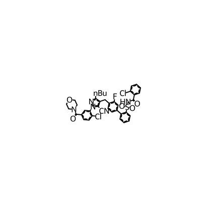 CCCCc1nn(-c2cc(C(=O)N3CCOCC3)ccc2Cl)c(C#N)c1Cc1ccc(-c2ccccc2S(=O)(=O)NC(=O)c2ccccc2Cl)cc1F